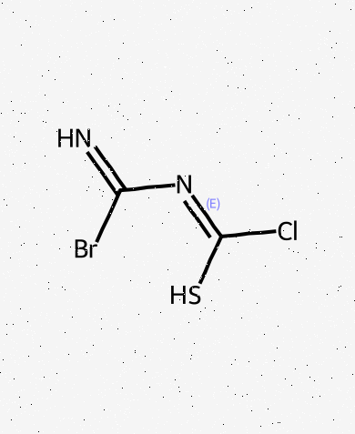 N=C(Br)/N=C(\S)Cl